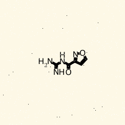 N=C(N)NC(=O)c1ccon1